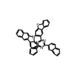 c1ccc(-c2nc(-c3ccc4ccccc4c3)nc(-c3cc4c(cc3-n3c5ccccc5c5cc6ccccc6cc53)sc3ccccc34)n2)cc1